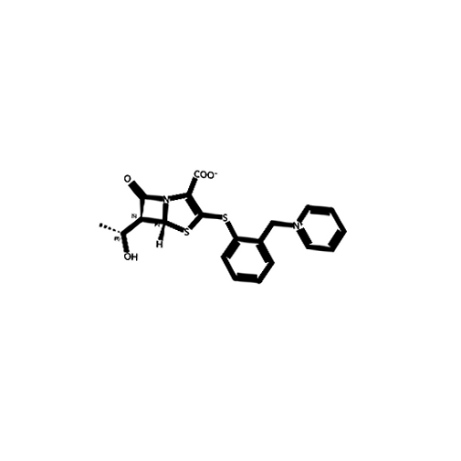 C[C@@H](O)[C@H]1C(=O)N2C(C(=O)[O-])=C(Sc3ccccc3C[n+]3ccccc3)S[C@H]12